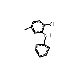 Cc1ccc(Cl)c(Nc2ccccc2)c1